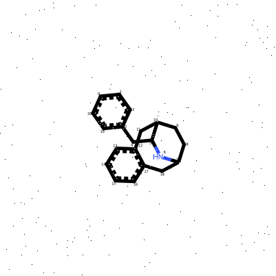 c1ccc(CC2NC3CCC2Cc2ccccc2C3)cc1